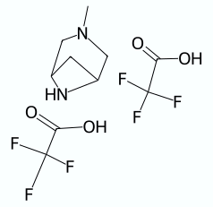 CN1CC2CC(C1)N2.O=C(O)C(F)(F)F.O=C(O)C(F)(F)F